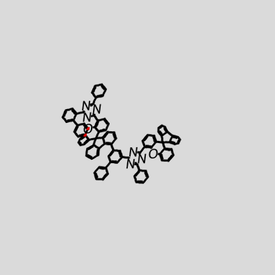 c1ccc(-c2cc(-c3nc(-c4ccccc4)nc(-c4cccc5c4Oc4ccccc4C54c5ccccc5-c5ccccc54)n3)cc(-c3cccc4c3-c3ccccc3C43c4ccccc4Oc4c(-c5nc(-c6ccccc6)nc(-c6ccccc6-c6ccccc6)n5)cccc43)c2)cc1